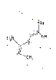 C/C=C(/N)S/C=C(\N)C(C)(C)C